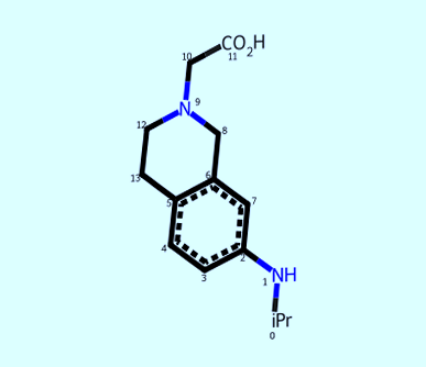 CC(C)Nc1ccc2c(c1)CN(CC(=O)O)CC2